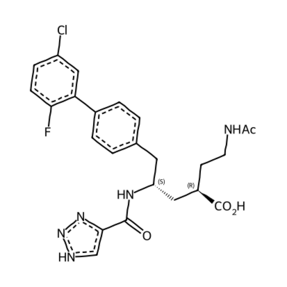 CC(=O)NCC[C@H](C[C@@H](Cc1ccc(-c2cc(Cl)ccc2F)cc1)NC(=O)c1c[nH]nn1)C(=O)O